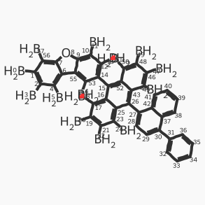 Bc1c(B)c(B)c2c(oc3c(B)c(B)c(-c4c5c(B)c(B)c(B)c(B)c5c(-c5ccc(-c6ccccc6)c6ccccc56)c5c(B)c(B)c(B)c(B)c45)c(B)c32)c1B